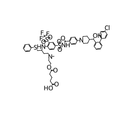 CN(CCOC(=O)CCCC(=O)O)CCC(CSc1ccccc1)Nc1ccc(S(=O)(=O)NC(=O)c2ccc(N3CCC([C@@H](O)c4ccccc4-c4ccc(Cl)cc4)CC3)cc2)cc1S(=O)(=O)C(F)(F)F